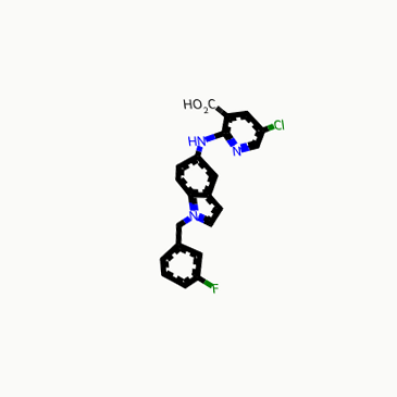 O=C(O)c1cc(Cl)cnc1Nc1ccc2c(ccn2Cc2cccc(F)c2)c1